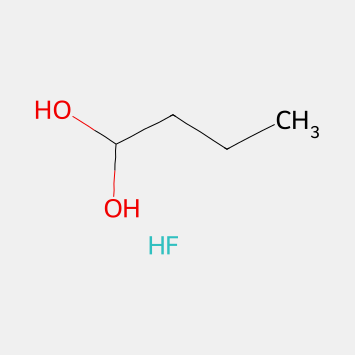 CCCC(O)O.F